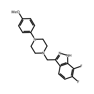 COc1ccc(N2CCN(Cc3n[nH]c4c(F)c(F)ccc34)CC2)cc1